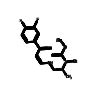 CCN(C(=O)OC(C)(C)C)[C@@H](C)CN/C=C\C(=N)c1ccc(F)c(F)c1